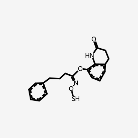 O=C1CCc2cccc(OC(CCCc3ccccc3)=NOS)c2N1